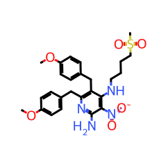 COc1ccc(Cc2nc(N)c([N+](=O)[O-])c(NCCCCS(C)(=O)=O)c2Cc2ccc(OC)cc2)cc1